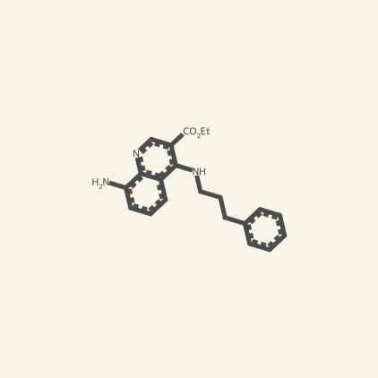 CCOC(=O)c1cnc2c(N)cccc2c1NCCCc1ccccc1